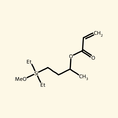 C=CC(=O)OC(C)CC[Si](CC)(CC)OC